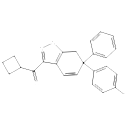 O=C(c1n[nH]c2c1C=CC(c1ccccc1)(c1ccc(F)cc1)C2)C1CCC1